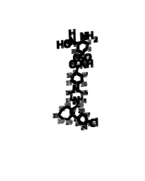 Nc1ccc(S(=O)(=O)NC(=O)c2ccc(N3CCN(CC4=C(c5ccc(Cl)cc5)CCCCC4)CC3)cc2)cc1NO